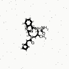 CC1CN(C(=O)Cc2cccs2)Cc2nc(c3ccccc3n2)N[C@@H]1C(N)=O